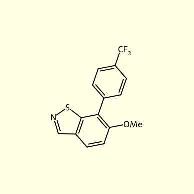 COc1ccc2cnsc2c1-c1ccc(C(F)(F)F)cc1